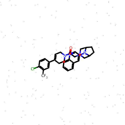 O=C(CN1CC2CCC(C1)N2c1cnc2ccccc2c1)N1CC=C(c2ccc(Cl)c(C(F)(F)F)c2)CC1